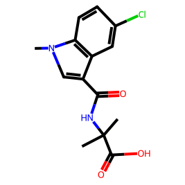 Cn1cc(C(=O)NC(C)(C)C(=O)O)c2cc(Cl)ccc21